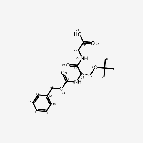 CC(C)(C)OC[C@H](NC(=O)OCc1ccccc1)C(=O)NCC(=O)O